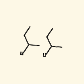 [Li][CH](C)CC.[Li][CH](C)CC